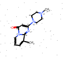 Cc1cccn2c(=O)cc(N3CCN(C)CC3)nc12